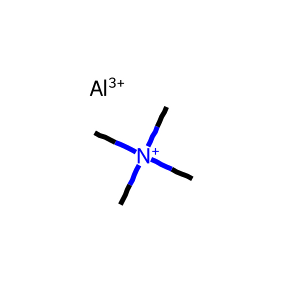 C[N+](C)(C)C.[Al+3]